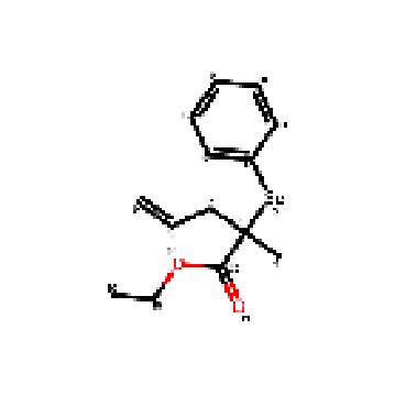 C=CCC(C)([Se]c1ccccc1)C(=O)OCC